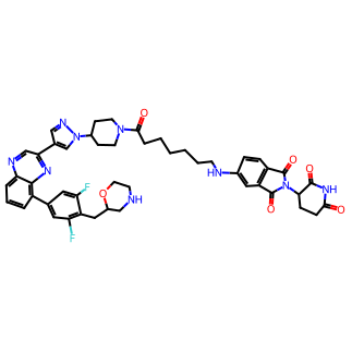 O=C1CCC(N2C(=O)c3ccc(NCCCCCCC(=O)N4CCC(n5cc(-c6cnc7cccc(-c8cc(F)c(CC9CNCCO9)c(F)c8)c7n6)cn5)CC4)cc3C2=O)C(=O)N1